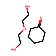 O=C1CCCCC1.OCCOCCO